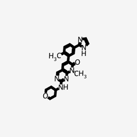 Cc1ccc(-c2ncc[nH]2)cc1-c1cc2cnc(NC3CCOCC3)nc2n(C)c1=O